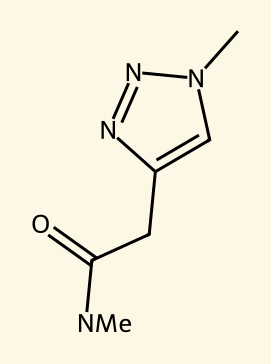 CNC(=O)Cc1cn(C)nn1